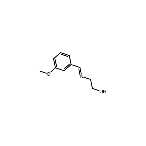 COc1cccc(C=NCCO)c1